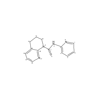 O=C(Nc1ccccn1)N1CCCc2cccnc21